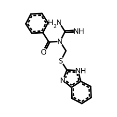 N=C(N)N(CSc1nc2ccccc2[nH]1)C(=O)c1ccccc1